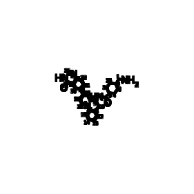 NC[C@H]1CC[C@H](C(=O)NC(Cc2ccccc2)c2cc(-c3ccc4nc[nH]c(=O)c4c3)ccn2)CC1